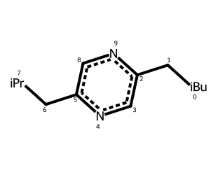 CCC(C)Cc1cnc(CC(C)C)cn1